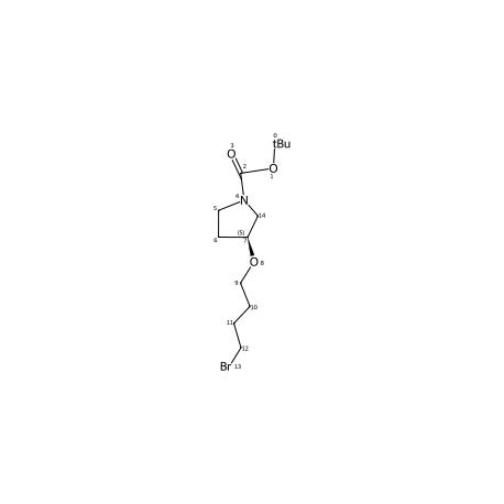 CC(C)(C)OC(=O)N1CC[C@H](OCCCCBr)C1